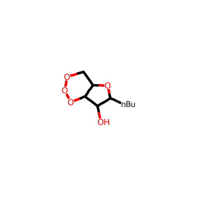 CCCCC1OC2COOOC2C1O